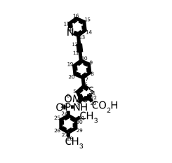 COP(=O)(Nc1cc(-c2ccc(C#Cc3ccccn3)cc2)sc1C(=O)O)c1ccc(C)cc1C